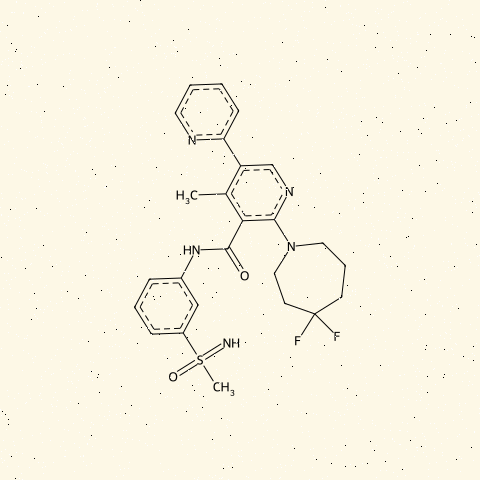 Cc1c(-c2ccccn2)cnc(N2CCCC(F)(F)CC2)c1C(=O)Nc1cccc(S(C)(=N)=O)c1